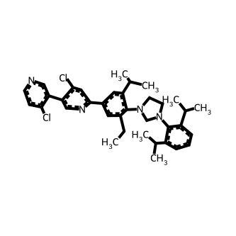 CCc1cc(-c2cc(Cl)c(-c3cnccc3Cl)cn2)cc(C(C)C)c1N1CCN(c2c(C(C)C)cccc2C(C)C)C1